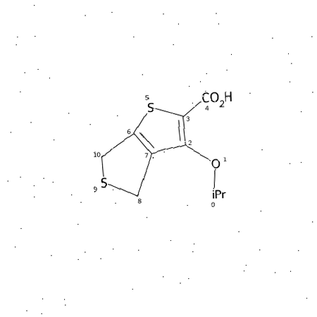 CC(C)Oc1c(C(=O)O)sc2c1CSC2